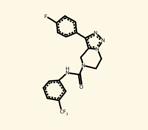 O=C(Nc1cccc(C(F)(F)F)c1)N1CCn2nnc(-c3ccc(F)cc3)c2C1